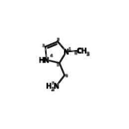 CN1C=CNC1CN